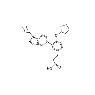 CCCn1ccc2cc(-c3cc(CCC(=O)O)ccc3OC3CCCC3)ccc21